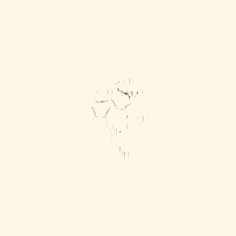 O.O.O=C(O)c1ccc(C(=O)O)cc1.O=C(O)c1ccc(C(=O)O)cc1.OCCO